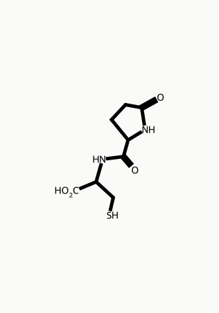 O=C1CCC(C(=O)NC(CS)C(=O)O)N1